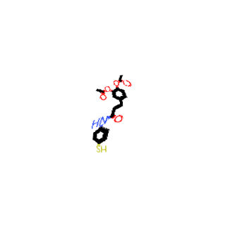 CC(=O)Oc1ccc(/C=C/C(=O)Nc2ccc(S)cc2)cc1OC(C)=O